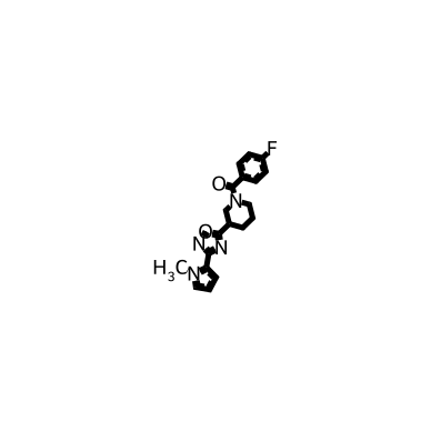 Cn1cccc1-c1noc(C2CCCN(C(=O)c3ccc(F)cc3)C2)n1